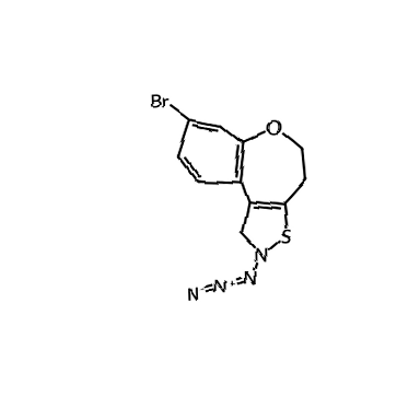 [N-]=[N+]=NN1CC2=C(CCOc3cc(Br)ccc32)S1